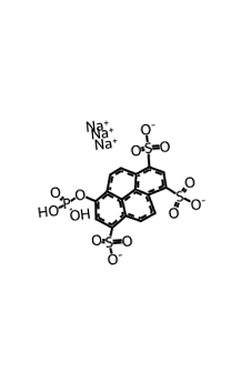 O=P(O)(O)Oc1cc(S(=O)(=O)[O-])c2ccc3c(S(=O)(=O)[O-])cc(S(=O)(=O)[O-])c4ccc1c2c43.[Na+].[Na+].[Na+]